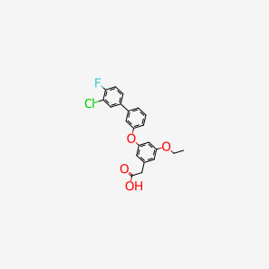 CCOc1cc(CC(=O)O)cc(Oc2cccc(-c3ccc(F)c(Cl)c3)c2)c1